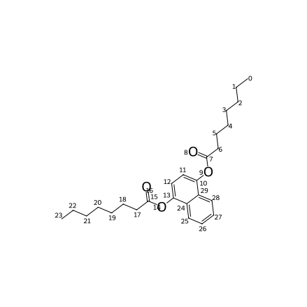 CCCCCCCC(=O)Oc1ccc(OC(=O)CCCCCCC)c2ccccc12